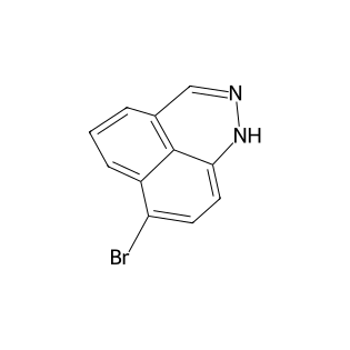 Brc1ccc2c3c(cccc13)C=NN2